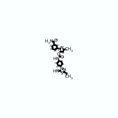 CCc1nn(-c2ccc(NC(=O)Oc3cc(C)nn3-c3cccc(C(N)=O)c3)cc2)c(=N)s1